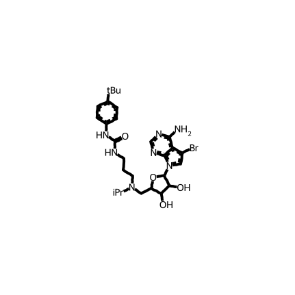 CC(C)N(CCCNC(=O)Nc1ccc(C(C)(C)C)cc1)CC1OC(n2cc(Br)c3c(N)ncnc32)C(O)C1O